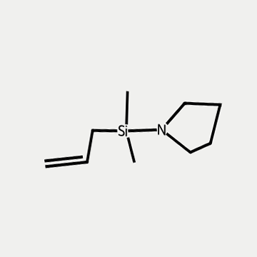 C=CC[Si](C)(C)N1CCCC1